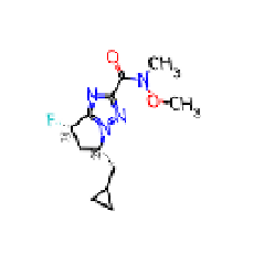 CON(C)C(=O)c1nc2n(n1)[C@H](CC1CC1)C[C@@H]2F